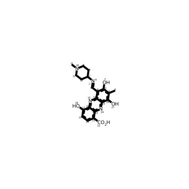 Cc1c(O)c(/C=N/C2CCN(C)CC2)c2nc3c(O)ccc(C(=O)O)c3nc2c1O